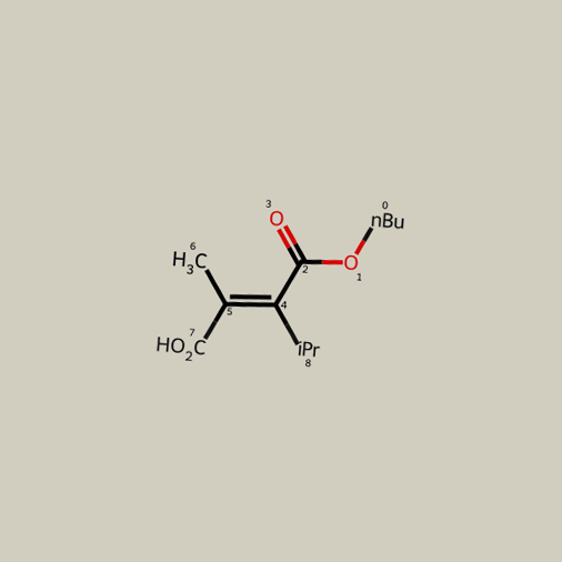 CCCCOC(=O)/C(=C(\C)C(=O)O)C(C)C